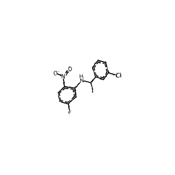 CC(Nc1cc(F)ccc1[N+](=O)[O-])c1cccc(Cl)c1